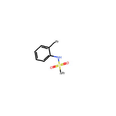 CCCS(=O)(=O)Nc1ccccc1C(C)C